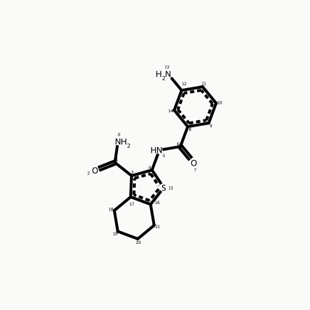 NC(=O)c1c(NC(=O)c2cccc(N)c2)sc2c1CCCC2